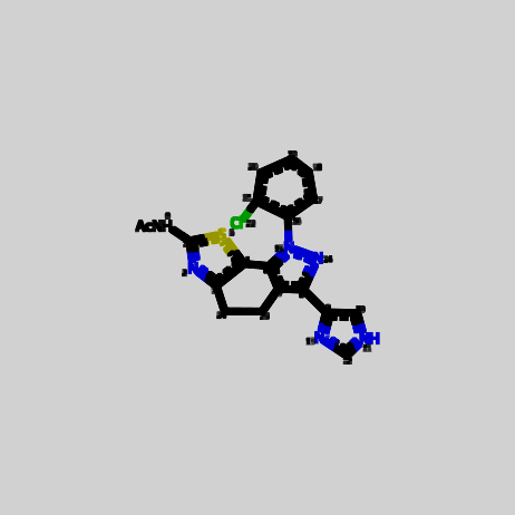 CC(=O)Nc1nc2c(s1)-c1c(c(-c3c[nH]cn3)nn1-c1ccccc1Cl)CC2